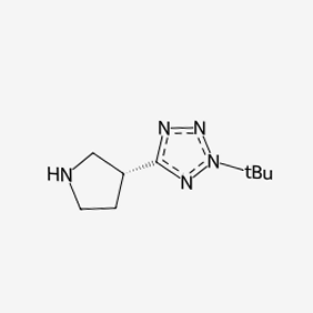 CC(C)(C)n1nnc([C@@H]2CCNC2)n1